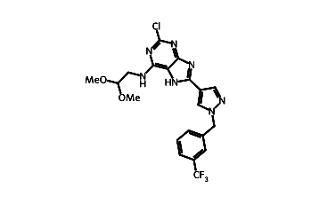 COC(CNc1nc(Cl)nc2nc(-c3cnn(Cc4cccc(C(F)(F)F)c4)c3)[nH]c12)OC